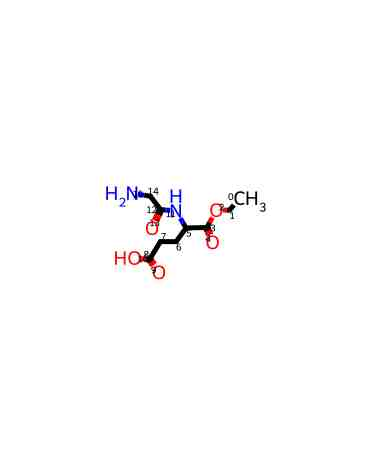 CCOC(=O)C(CCC(=O)O)NC(=O)CN